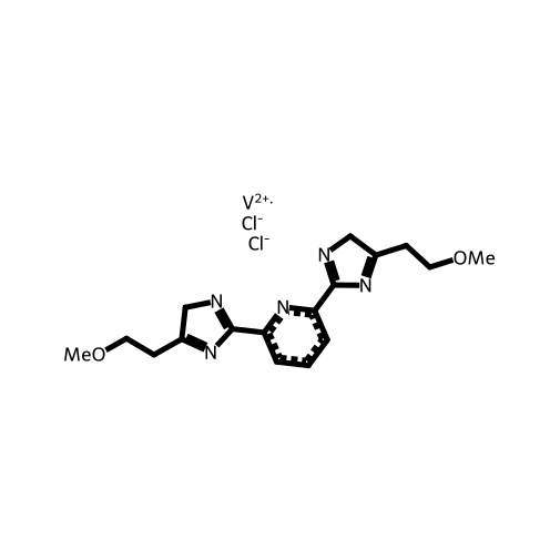 COCCC1=NC(c2cccc(C3=NCC(CCOC)=N3)n2)=NC1.[Cl-].[Cl-].[V+2]